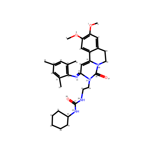 COc1cc2c(cc1OC)-c1cc(=Nc3c(C)cc(C)cc3C)n(CCNC(=O)NC3CCCCC3)c(=O)n1CC2